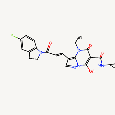 CC(C)Cn1c(=O)c(C(=O)NC2CC2)c(O)n2ncc(/C=C/C(=O)N3CCc4cc(F)ccc43)c12